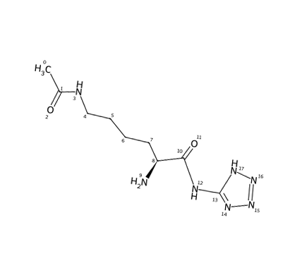 CC(=O)NCCCC[C@H](N)C(=O)Nc1nnn[nH]1